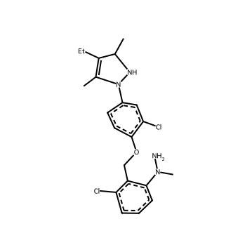 CCC1=C(C)N(c2ccc(OCc3c(Cl)cccc3N(C)N)c(Cl)c2)NC1C